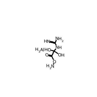 N=C(N)NC(O)(O)C(=O)ON.[AlH3]